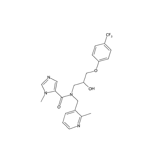 Cc1ncccc1CN(CC(O)COc1ccc(C(F)(F)F)cc1)C(=O)c1cncn1C